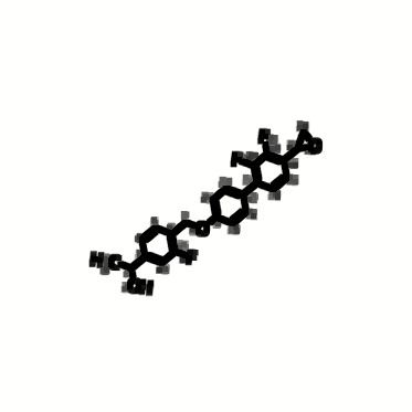 CC(O)c1ccc(COc2ccc(-c3ccc(C4CO4)c(F)c3F)cc2)c(F)c1